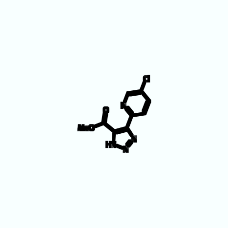 COC(=O)c1[nH]nnc1-c1ccc(Cl)cn1